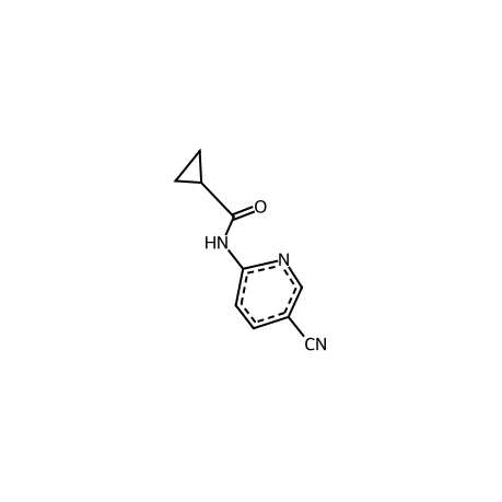 N#Cc1ccc(NC(=O)C2CC2)nc1